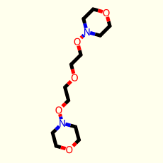 C(CON1CCOCC1)OCCON1CCOCC1